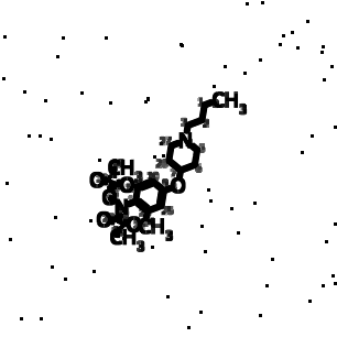 CCCCN1CCC(Oc2ccc(N(OS(C)(=O)=O)S(C)(=O)=O)c(C)c2)CC1